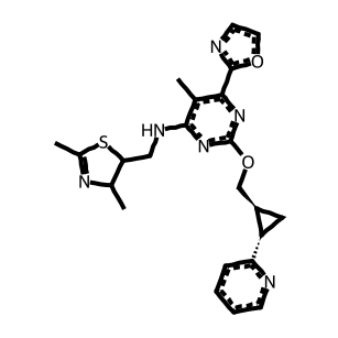 CC1=NC(C)C(CNc2nc(OC[C@H]3C[C@@H]3c3ccccn3)nc(-c3ncco3)c2C)S1